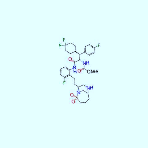 COC(=O)N[C@H](C(=O)Nc1cccc(F)c1CCC1CNC2CCCS(=O)(=O)N1C2)[C@H](c1ccc(F)cc1)C1CCC(F)(F)CC1